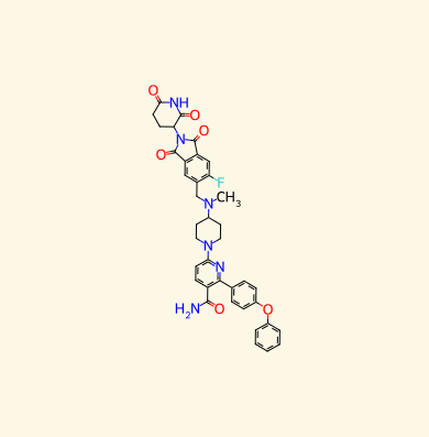 CN(Cc1cc2c(cc1F)C(=O)N(C1CCC(=O)NC1=O)C2=O)C1CCN(c2ccc(C(N)=O)c(-c3ccc(Oc4ccccc4)cc3)n2)CC1